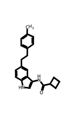 Cc1ccc(CCc2ccc3[nH]cc(NC(=O)C4CCC4)c3c2)cc1